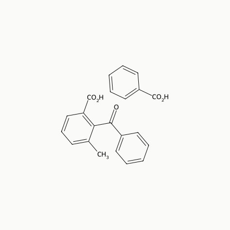 Cc1cccc(C(=O)O)c1C(=O)c1ccccc1.O=C(O)c1ccccc1